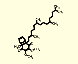 COC1=C(OC)C(=O)C2(C/C=C(\C)CCCC(C)CCCC(C)CCCC(C)C)C3C=CC(C3)C2(C)C1=O